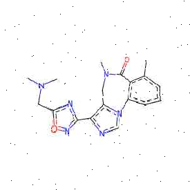 Cc1cccc2c1C(=O)N(C)Cc1c(-c3noc(CN(C)C)n3)ncn1-2